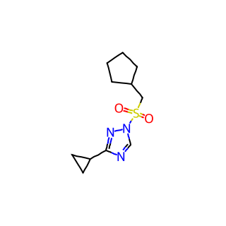 O=S(=O)(CC1CCCC1)n1cnc(C2CC2)n1